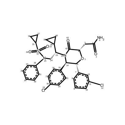 NC(=O)C[C@@H]1O[C@H](c2cccc(Cl)c2)[C@@H](c2ccc(Cl)cc2)N([C@H](CN(c2ccccc2)S(=O)(=O)C2CC2)C2CC2)C1=O